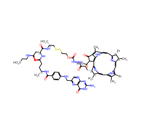 CC[C@H]1c2cc3[nH]c4c(c3C)C(=O)C(C(=O)OC)c4c3nc(cc4[nH]c(cc(n2)[C@@H]1C)c(C(C)=O)c4C)[C@@H](C)[C@@H]3CCC(=O)NNC(=O)OCCSSC[C@H](NC(=O)[C@H](CC(=O)NCCS(=O)(=O)O)NC(=O)CC[C@@H](C)NC(=O)c1ccc(NCc2cnc3nc(N)[nH]c(=O)c3n2)cc1)C(=O)O